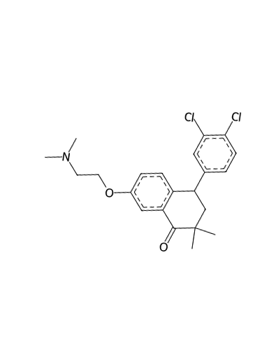 CN(C)CCOc1ccc2c(c1)C(=O)C(C)(C)CC2c1ccc(Cl)c(Cl)c1